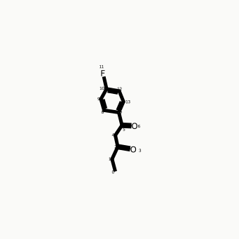 CCC(=O)CC(=O)c1ccc(F)cc1